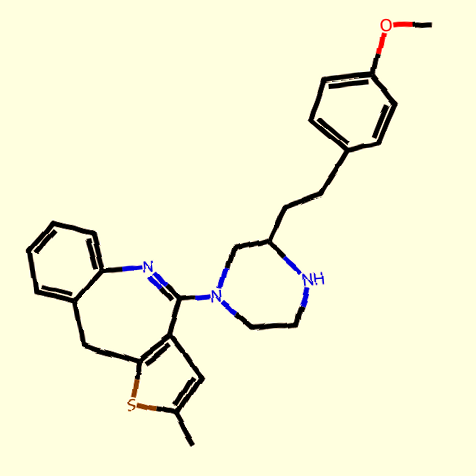 COc1ccc(CCC2CN(C3=Nc4ccccc4Cc4sc(C)cc43)CCN2)cc1